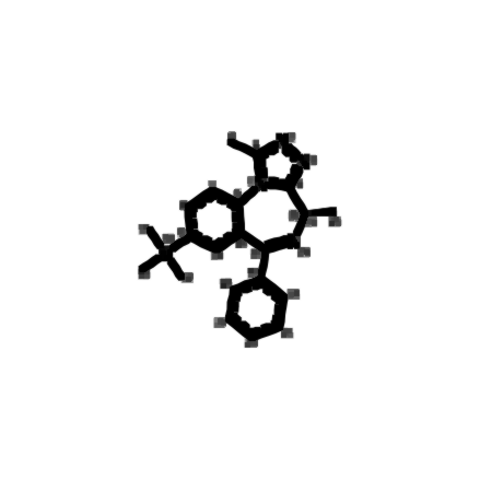 Cc1nnc2n1-c1ccc([Si](C)(C)C)cc1C(c1ccccc1)=N[C@@H]2C